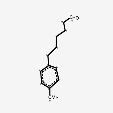 COc1ccc(CCCCC[C]=O)cc1